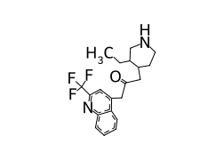 CCC1CNCCC1CC(=O)Cc1cc(C(F)(F)F)nc2ccccc12